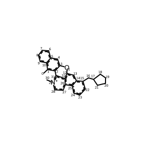 Cc1c2c(cc3ccccc13)Oc1cc3c(CC4CCCC4)cccc3c3cc[n+](C)c-2c13